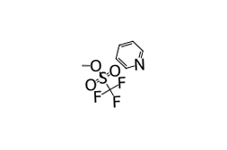 COS(=O)(=O)C(F)(F)F.c1ccncc1